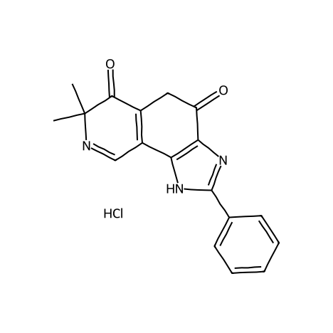 CC1(C)N=CC2=C(CC(=O)c3nc(-c4ccccc4)[nH]c32)C1=O.Cl